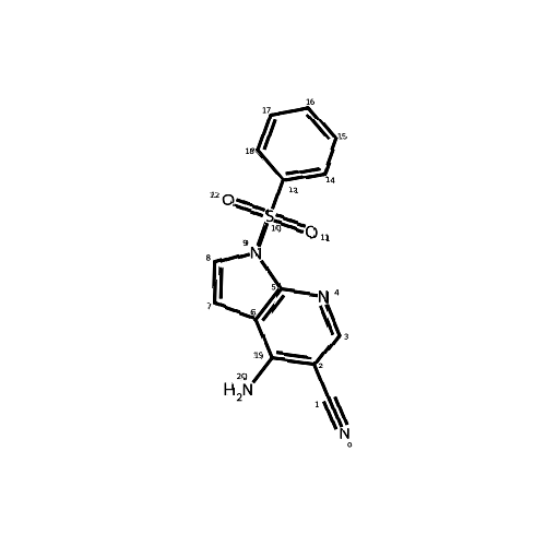 N#Cc1cnc2c(ccn2S(=O)(=O)c2ccccc2)c1N